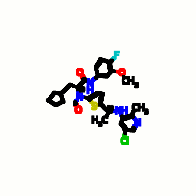 COc1cc(NC(=O)[C@H](CC2CCCC2)N(C=O)c2ccc([C@H](C)Nc3cc(Cl)cnc3C)s2)ccc1F